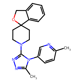 Cc1ccc(-n2c(C)nnc2N2CCC3(CC2)OCc2ccccc23)cn1